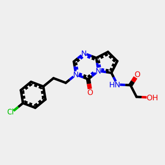 O=C(CO)Nc1ccc2ncn(CCc3ccc(Cl)cc3)c(=O)n12